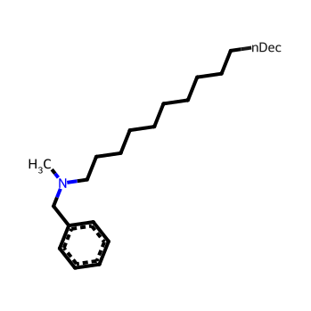 CCCCCCCCCCCCCCCCCCCCN(C)Cc1ccccc1